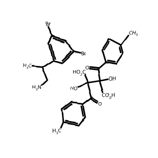 CC(CN)c1cc(Br)cc(Br)c1.Cc1ccc(C(=O)C(O)(C(=O)O)C(O)(C(=O)O)C(=O)c2ccc(C)cc2)cc1